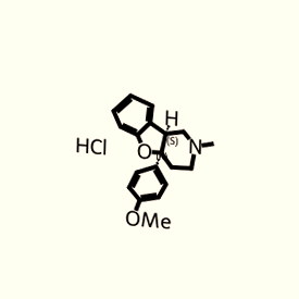 COc1ccc([C@@]23CCN(C)C[C@@H]2c2ccccc2O3)cc1.Cl